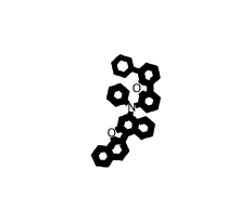 c1ccc(N(c2cc3oc4c5ccccc5ccc4c3c3ccccc23)c2cccc3c2oc2c(C4CCCCC4)cccc23)cc1